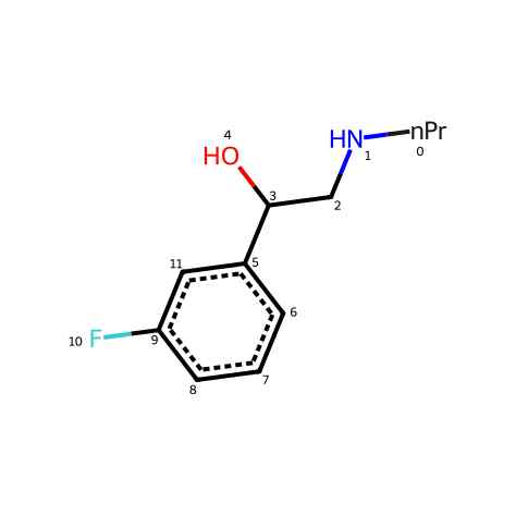 CCCNCC(O)c1cccc(F)c1